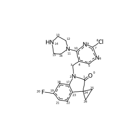 O=C1N(Cc2cnc(Cl)nc2N2CCNCC2)c2cc(F)ccc2C12CC2